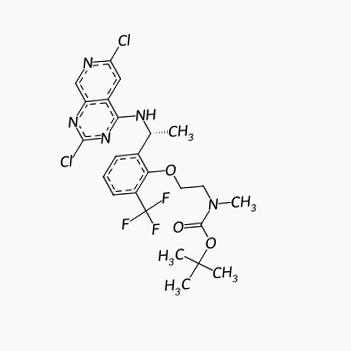 C[C@@H](Nc1nc(Cl)nc2cnc(Cl)cc12)c1cccc(C(F)(F)F)c1OCCN(C)C(=O)OC(C)(C)C